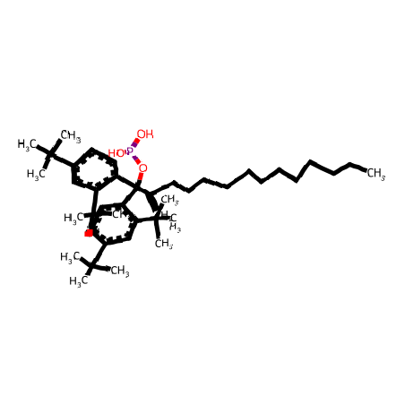 C=C(CCCCCCCCCCCC)C(OP(O)O)(c1ccc(C(C)(C)C)cc1C(C)(C)C)c1ccc(C(C)(C)C)cc1C(C)(C)C